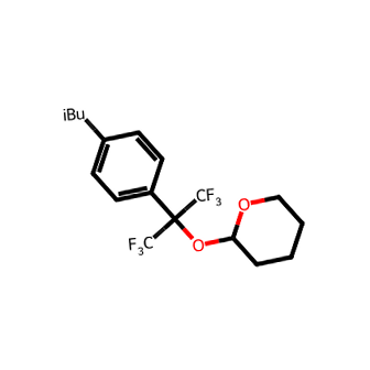 CCC(C)c1ccc(C(OC2CCCCO2)(C(F)(F)F)C(F)(F)F)cc1